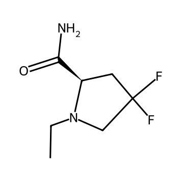 CCN1CC(F)(F)C[C@@H]1C(N)=O